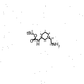 CC(C)(C)OC(=O)NC1CCCN(CCN)C1